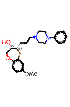 COc1ccc2c(c1)S[C@@H](CCCN1CCN(c3ccccc3)CC1)[C@@H](O)CO2